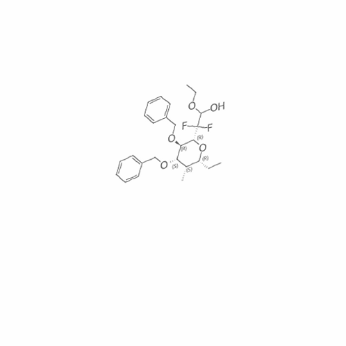 CCOC(O)C(F)(F)[C@@H]1O[C@H](CC)[C@H](C)[C@H](OCc2ccccc2)[C@H]1OCc1ccccc1